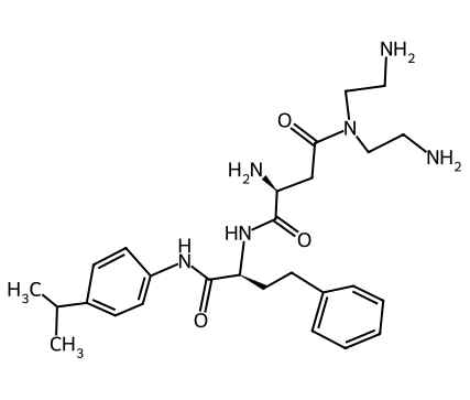 CC(C)c1ccc(NC(=O)[C@H](CCc2ccccc2)NC(=O)[C@@H](N)CC(=O)N(CCN)CCN)cc1